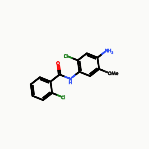 COc1cc(NC(=O)c2ccccc2Cl)c(Cl)cc1N